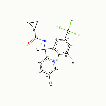 CC(NC(=O)C1CC1)(c1cc(F)cc(C(F)(F)F)c1)c1ccc(Cl)cn1